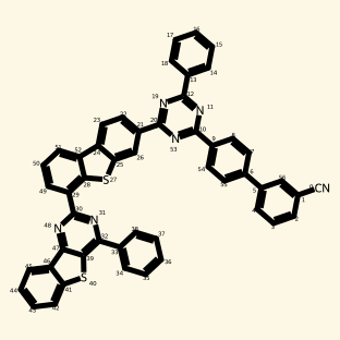 N#Cc1cccc(-c2ccc(-c3nc(-c4ccccc4)nc(-c4ccc5c(c4)sc4c(-c6nc(-c7ccccc7)c7sc8ccccc8c7n6)cccc45)n3)cc2)c1